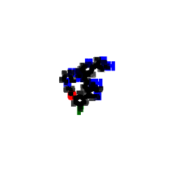 Fc1cc(OCCN2CCCC2)cc(-c2cncc3[nH]c(-c4n[nH]c5cnc(-c6cn[nH]c6)cc45)cc23)c1